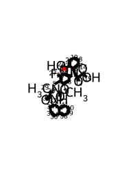 COC(=O)N(Cc1ccc(N(C(=O)C(=O)O)c2ccccc2C(=O)O)cc1F)[C@@H](C)C(=O)Nc1cccc2ccccc12